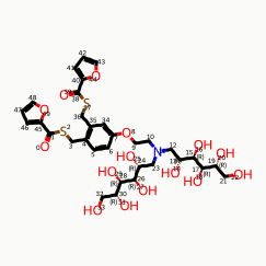 O=C(SCc1ccc(OCCN(C[C@@H](O)[C@@H](O)[C@H](O)[C@H](O)CO)C[C@@H](O)[C@@H](O)[C@H](O)[C@H](O)CO)cc1CSC(=O)c1ccco1)c1ccco1